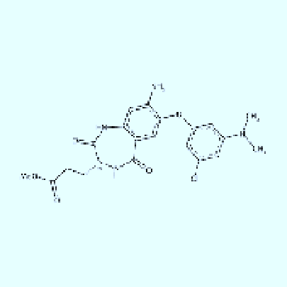 COC(=O)CC[C@H]1NC(=O)c2cc(Oc3cc(Cl)cc(N(C)C)c3)c(N)cc2NC1=O